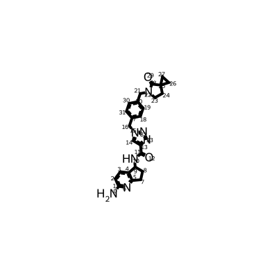 Nc1ccc2c(n1)CCC2NC(=O)c1cn(Cc2ccc(CN3CCC4(CC4)C3=O)cc2)nn1